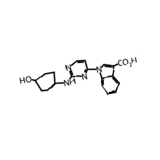 O=C(O)c1cn(-c2ccnc(NC3CCC(O)CC3)n2)c2ccccc12